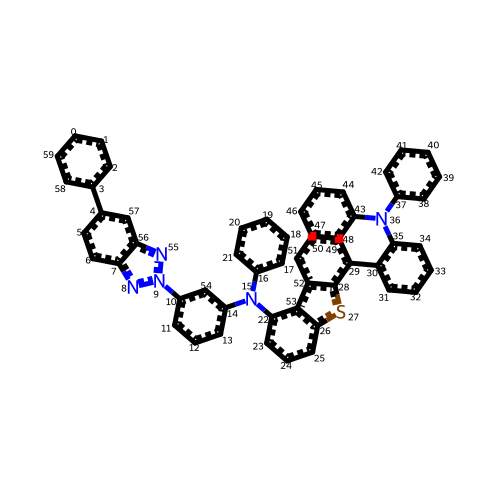 c1ccc(-c2ccc3nn(-c4cccc(N(c5ccccc5)c5cccc6sc7c(-c8ccccc8N(c8ccccc8)c8ccccc8)cccc7c56)c4)nc3c2)cc1